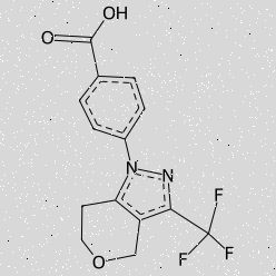 O=C(O)c1ccc(-n2nc(C(F)(F)F)c3c2CCOC3)cc1